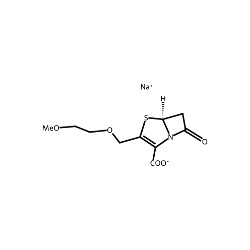 COCCOCC1=C(C(=O)[O-])N2C(=O)C[C@@H]2S1.[Na+]